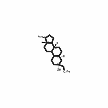 COC[C@@]1(O)CCC2C3CC[C@@]4(C)C(CC[C@@H]4C(C)=O)[C@@H]3CC[C@H]2C1